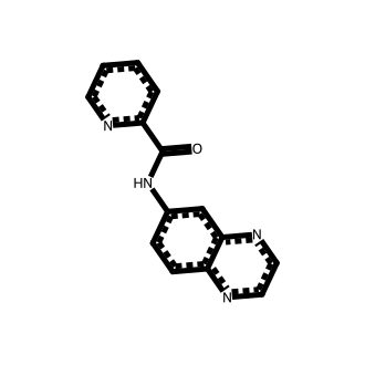 O=C(Nc1ccc2nccnc2c1)c1ccccn1